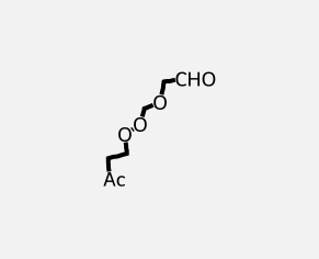 CC(=O)CCOOCOCC=O